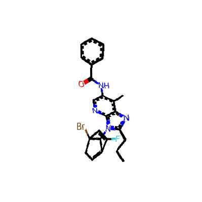 CCCc1nc2c(C)c(NC(=O)c3ccccc3)cnc2n1C1C2=CCC1(Br)C=C2F